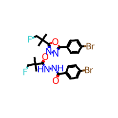 CC(C)(CF)C(=O)NNC(=O)c1ccc(Br)cc1.CC(C)(CF)c1nnc(-c2ccc(Br)cc2)o1